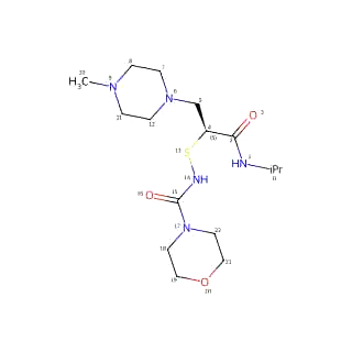 CC(C)NC(=O)[C@H](CN1CCN(C)CC1)SNC(=O)N1CCOCC1